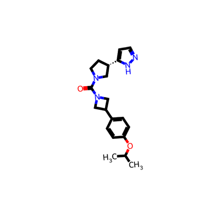 CC(C)Oc1ccc(C2CN(C(=O)N3CC[C@H](c4ccn[nH]4)C3)C2)cc1